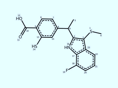 CSc1c(C(C)c2ccc(C(=O)O)c(S)c2)[nH]c2c(F)cccc12